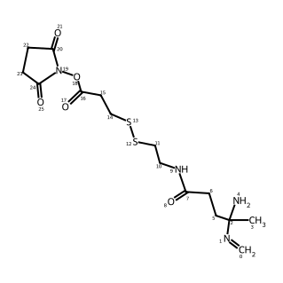 C=NC(C)(N)CCC(=O)NCCSSCCC(=O)ON1C(=O)CCC1=O